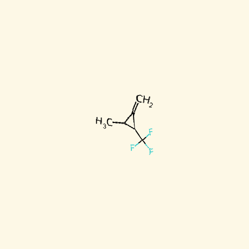 C=C1C(C)C1C(F)(F)F